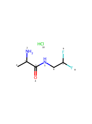 CC(N)C(=O)NCC(F)F.Cl